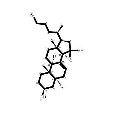 CC(C)CCC[C@@H](C)[C@H]1C[C@@H]2O[C@@]23C2=CC[C@H]4C[C@@H](O)CC[C@]4(C)[C@H]2CC[C@]13C